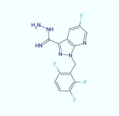 N=C(NN)c1nn(Cc2c(F)ccc(F)c2F)c2ncc(F)cc12